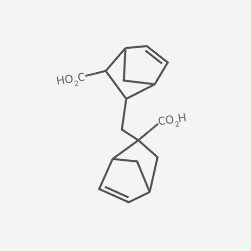 O=C(O)C1C2C=CC(C2)C1CC1(C(=O)O)CC2C=CC1C2